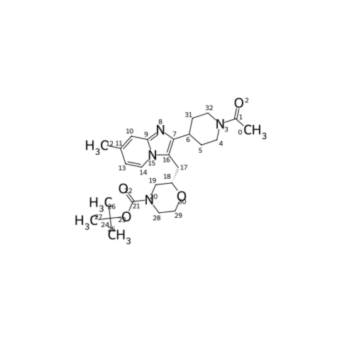 CC(=O)N1CCC(c2nc3cc(C)ccn3c2C[C@H]2CN(C(=O)OC(C)(C)C)CCO2)CC1